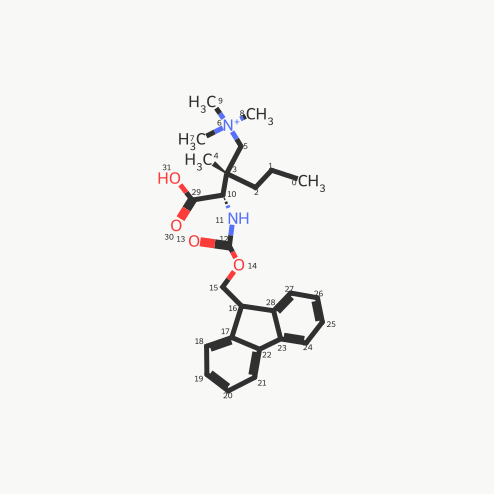 CCC[C@@](C)(C[N+](C)(C)C)[C@H](NC(=O)OCC1c2ccccc2-c2ccccc21)C(=O)O